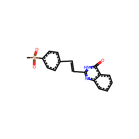 CS(=O)(=O)c1ccc(/C=C/c2nc3ccccc3c(=O)[nH]2)cc1